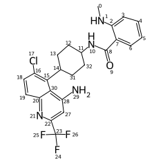 CNc1ccccc1C(=O)NC1CCC(c2c(Cl)ccc3nc(C(F)(F)F)cc(N)c23)CC1